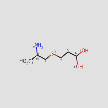 N[C@@H](CSCCC(O)O)C(=O)O